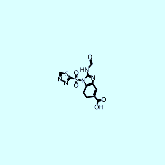 O=CNc1nc2c(n1S(=O)(=O)c1nncs1)CCC(C(=O)O)=C2